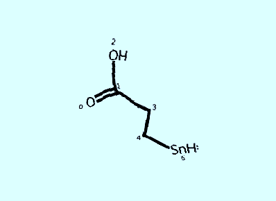 O=C(O)C[CH2][SnH]